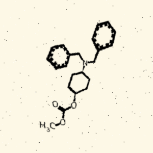 COC(=O)O[C@H]1CC[C@@H](N(Cc2ccccc2)Cc2ccccc2)CC1